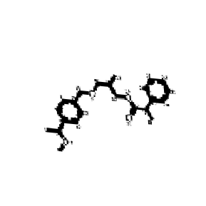 COC(C)c1ccc(COCC(C)COC(=O)C(C)c2ccccc2)cc1